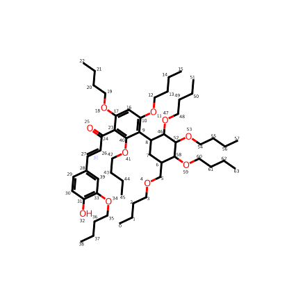 CCCCOCC1CC(c2c(OCCCC)cc(OCCCC)c(C(=O)/C=C/c3ccc(O)c(OCCCC)c3)c2OCCCC)C(OCCCC)C(OCCCC)C1OCCCC